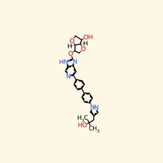 CC(C)(O)Cc1cnn(-c2ccc(-c3ccc(-c4cc5nc(OC6CO[C@@H]7C(O)CO[C@H]67)[nH]c5cn4)cc3)cc2)c1